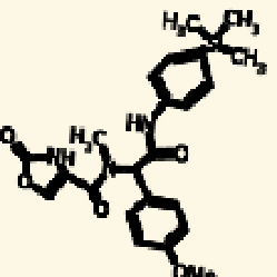 COc1ccc(C(C(=O)Nc2ccc([Si](C)(C)C)cc2)N(C)C(=O)c2coc(=O)[nH]2)cc1